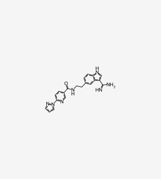 N=C(N)c1c[nH]c2ccc(CCNC(=O)c3ccc(-n4cccn4)nc3)cc12